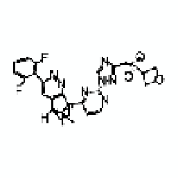 CC1(C)[C@H]2CC[C@@]1(c1ccnc(-n3cnc(CS(=O)(=O)C4COC4)n3)n1)c1nnc(-c3c(F)cccc3F)cc12